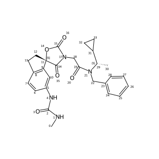 CNC(=O)Nc1ccc2c(c1)[C@]1(CC2)OC(=O)N(CC(=O)N(Cc2ccccc2)[C@@H](C)C2CC2)C1=O